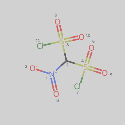 O=[N+]([O-])C(S(=O)(=O)Cl)S(=O)(=O)Cl